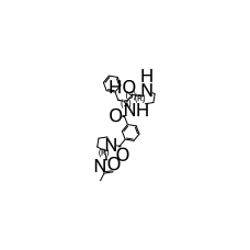 Cc1coc([C@H]2CCCN2C(=O)c2cccc(C(=O)N[C@@H](Cc3ccccc3)[C@@H](O)[C@H]3CCCN3)c2)n1